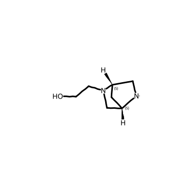 OCCN1C[C@@H]2C[C@H]1C[N]2